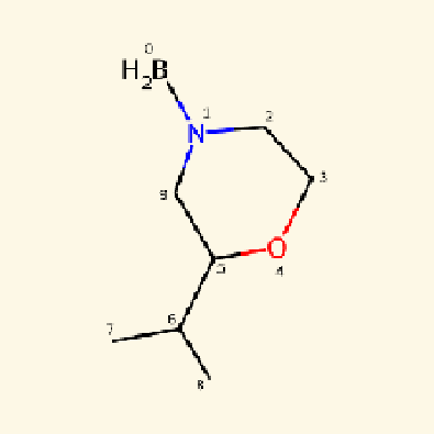 BN1CCOC(C(C)C)C1